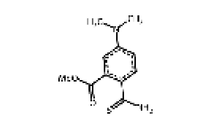 COC(=O)c1cc(N(C)C)ccc1C(N)=S